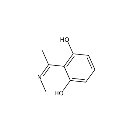 C/N=C(/C)c1c(O)cccc1O